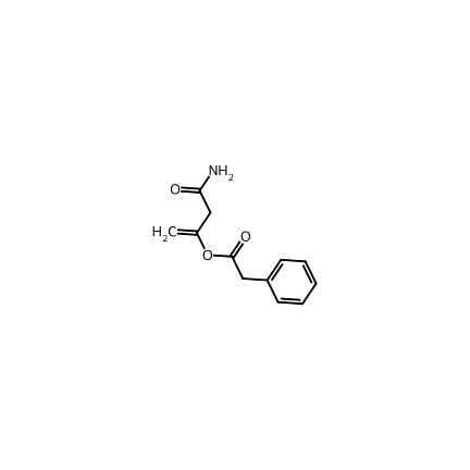 C=C(CC(N)=O)OC(=O)Cc1ccccc1